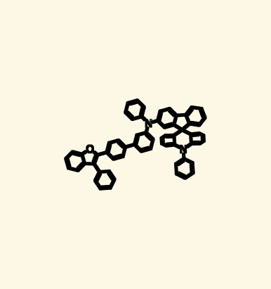 c1ccc(-c2c(-c3ccc(-c4cccc(N(c5ccccc5)c5ccc6c(c5)C5(c7ccccc7-6)c6ccccc6N(c6ccccc6)c6ccccc65)c4)cc3)oc3ccccc23)cc1